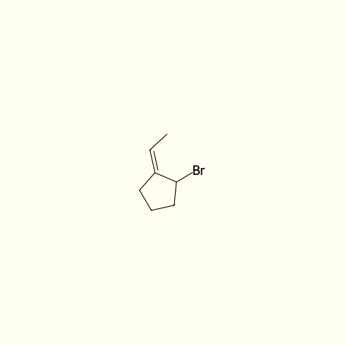 CC=C1CCCC1Br